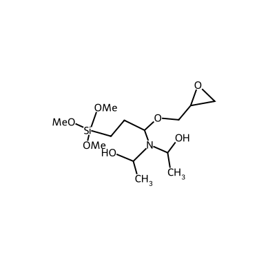 CO[Si](CCC(OCC1CO1)N(C(C)O)C(C)O)(OC)OC